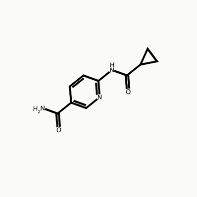 NC(=O)c1ccc(NC(=O)C2CC2)nc1